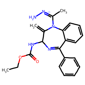 C=C1C(NC(=O)OCC)N=C(c2ccccc2)c2ccccc2N1/C(C)=N\N